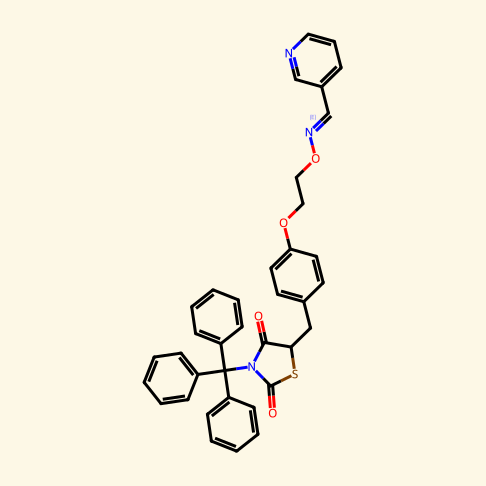 O=C1SC(Cc2ccc(OCCO/N=C/c3cccnc3)cc2)C(=O)N1C(c1ccccc1)(c1ccccc1)c1ccccc1